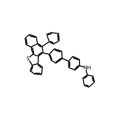 c1ccc(Nc2ccc(-c3ccc(-c4c(-c5ccccc5)c5ccccc5c5sc6ccccc6c45)cc3)cc2)cc1